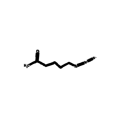 CC(=O)CCCCN=[N+]=[N-]